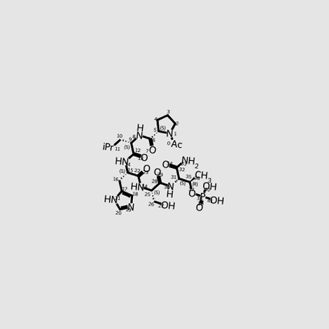 CC(=O)N1CCC[C@H]1C(=O)N[C@@H](CC(C)C)C(=O)N[C@@H](Cc1cnc[nH]1)C(=O)N[C@@H](CO)C(=O)N[C@H](C(N)=O)[C@@H](C)OP(=O)(O)O